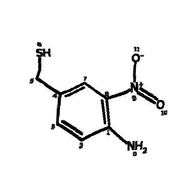 Nc1ccc(CS)cc1[N+](=O)[O-]